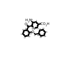 Nc1cc(C(=O)O)cnc1C(=O)c1ccccc1OCc1ccccc1